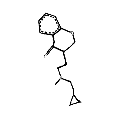 CN(CCC1COc2ccccc2C1=O)CC1CC1